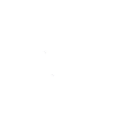 Cc1nc2ccn(-c3ccccc3)c(=O)c2cc1C(=O)O